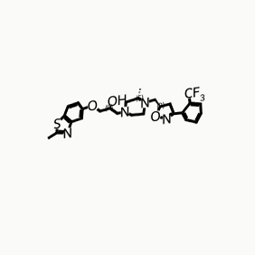 Cc1nc2cc(OC[C@H](O)CN3CCN(C[C@H]4CC(c5ccccc5C(F)(F)F)=NO4)[C@@H](C)C3)ccc2s1